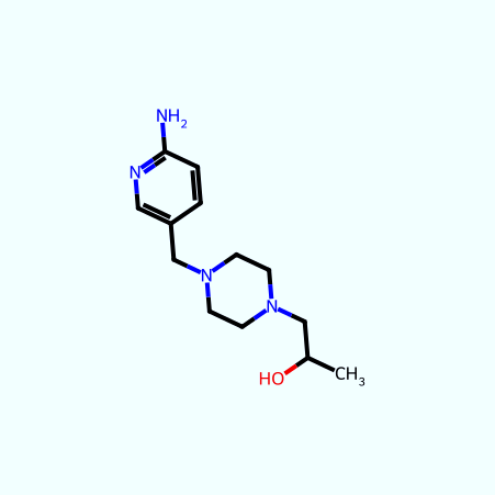 CC(O)CN1CCN(Cc2ccc(N)nc2)CC1